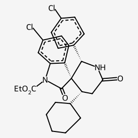 CCOC(=O)N1C(=O)[C@]2(c3ccc(Cl)cc31)[C@@H](C1CCCCC1)CC(=O)N[C@H]2c1ccc(Cl)cc1